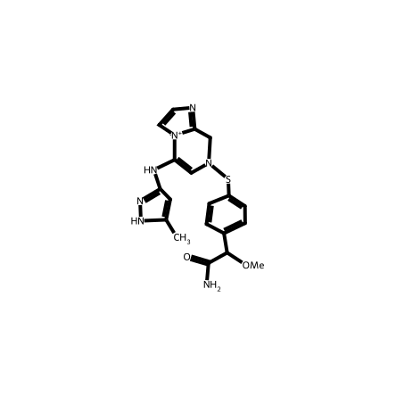 COC(C(N)=O)c1ccc(SN2C=C(Nc3cc(C)[nH]n3)[N+]3C=CN=C3C2)cc1